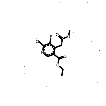 CCOC(=O)c1cnc(Cl)c(F)c1CC(=O)OC